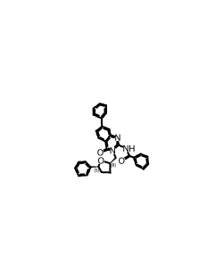 O=C(Nc1nc2cc(-c3ccccc3)ccc2c(=O)n1C[C@H]1CC[C@@H](c2ccccc2)O1)c1ccccc1